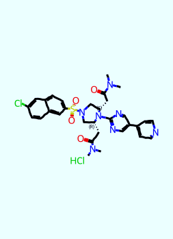 CN(C)C(=O)C[C@@H]1CN(S(=O)(=O)c2ccc3cc(Cl)ccc3c2)C[C@H](CC(=O)N(C)C)N1c1ncc(-c2ccncc2)cn1.Cl